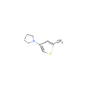 Cc1cc(N2CCCC2)cs1